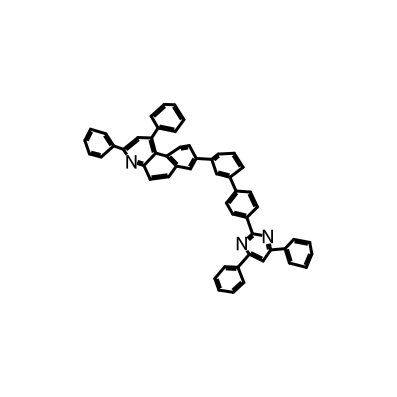 c1ccc(-c2cc(-c3ccccc3)nc(-c3ccc(-c4cccc(-c5ccc6c(ccc7nc(-c8ccccc8)cc(-c8ccccc8)c76)c5)c4)cc3)n2)cc1